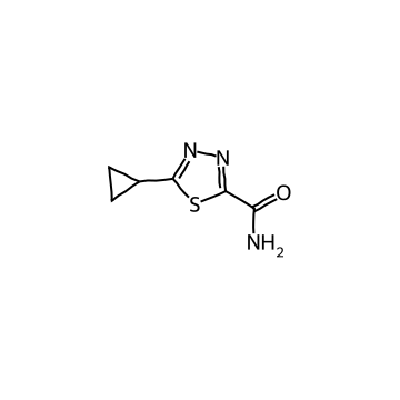 NC(=O)c1nnc(C2CC2)s1